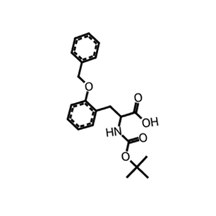 CC(C)(C)OC(=O)NC(Cc1ccccc1OCc1ccccc1)C(=O)O